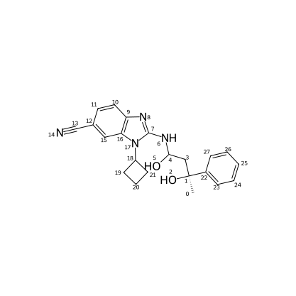 C[C@](O)(CC(O)Nc1nc2ccc(C#N)cc2n1C1CCC1)c1ccccc1